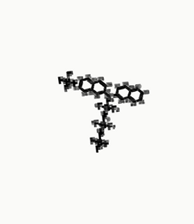 F[B-](F)(F)F.F[B-](F)(F)F.F[B-](F)(F)F.F[B-](F)(F)F.c1ccc2cc([I+]c3ccc4ccccc4c3)ccc2c1